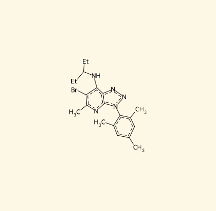 CCC(CC)Nc1c(Br)c(C)nc2c1nnn2-c1c(C)cc(C)cc1C